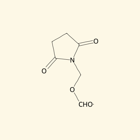 O=[C]OCN1C(=O)CCC1=O